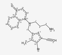 C#Cc1sc(CN(CCCN)n2ccc(=O)c3ccccc32)c(C)c1Br